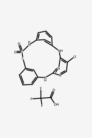 O=C(O)C(F)(F)F.O=S1(=O)Cc2cccc(c2)Nc2ncc(Cl)c(n2)Nc2cccc(c2)N1